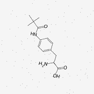 CC(C)(C)C(=O)Nc1ccc(CC(N)C(=O)O)cc1